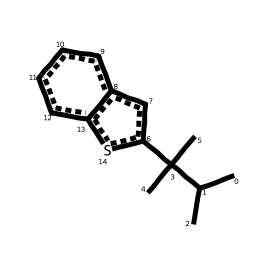 CC(C)C(C)(C)c1cc2ccccc2s1